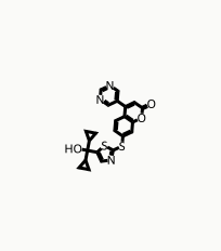 O=c1cc(-c2cncnc2)c2ccc(Sc3ncc(C(O)(C4CC4)C4CC4)s3)cc2o1